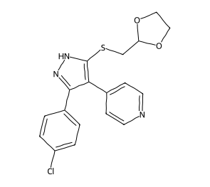 Clc1ccc(-c2n[nH]c(SCC3OCCO3)c2-c2ccncc2)cc1